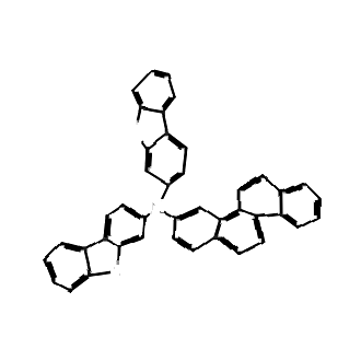 c1ccc2c(c1)ccc1c3cc(N(c4ccc5c(c4)sc4ccccc45)c4ccc5c(c4)sc4ccccc45)ccc3ccc21